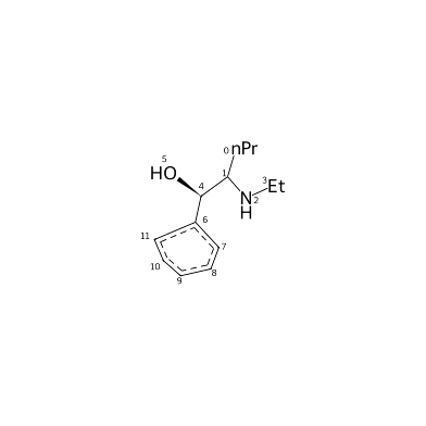 CCCC(NCC)[C@H](O)c1ccccc1